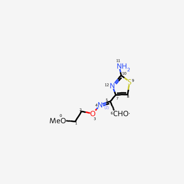 COCCO/N=C(\[C]=O)c1csc(N)n1